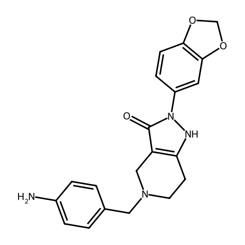 Nc1ccc(CN2CCc3[nH]n(-c4ccc5c(c4)OCO5)c(=O)c3C2)cc1